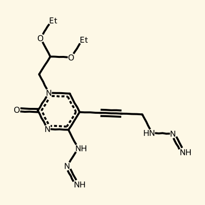 CCOC(Cn1cc(C#CCNN=N)c(NN=N)nc1=O)OCC